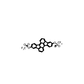 O=S(=O)(Oc1ccc2c(c1)c1cccc3c1c2c1cccc2c4cc(OS(=O)(=O)C(F)(F)F)ccc4c3c21)C(F)(F)F